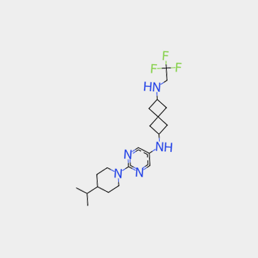 CC(C)C1CCN(c2ncc(NC3CC4(CC(NCC(F)(F)F)C4)C3)cn2)CC1